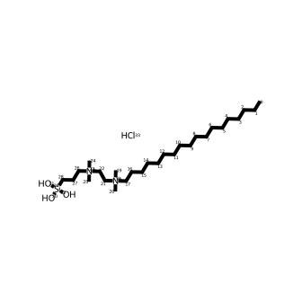 CCCCCCCCCCCCCCCCCC[N+](C)(C)CC[N+](C)(C)CCC[Si](O)(O)O.Cl